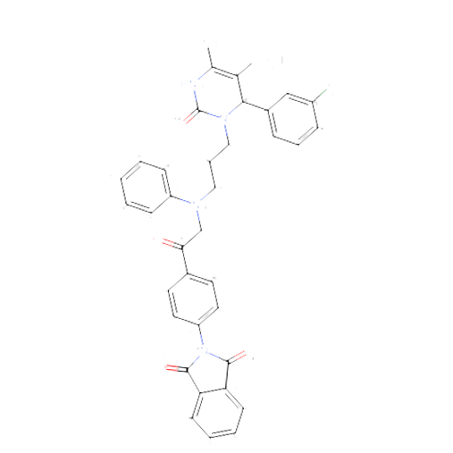 CC1=C(C(=O)O)C(c2cccc(Cl)c2)N(CCCN(CC(=O)c2ccc(N3C(=O)c4ccccc4C3=O)cc2)c2ccccc2)C(=O)N1